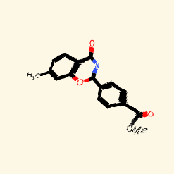 COC(=O)c1ccc(-c2nc(=O)c3ccc(C)cc3o2)cc1